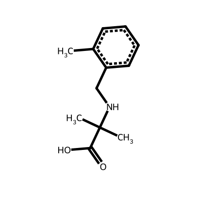 Cc1ccccc1CNC(C)(C)C(=O)O